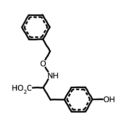 O=C(O)C(Cc1ccc(O)cc1)NOCc1ccccc1